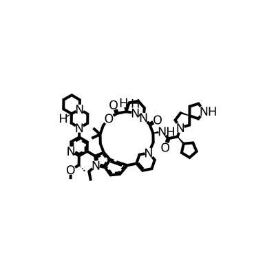 CCn1c(-c2cc(N3CCN4CCCC[C@@H]4C3)cnc2[C@H](C)OC)c2c3cc(ccc31)C1=CCCN(C1)C[C@H](NC(=O)[C@H](C1CCCC1)N1CC[C@]3(CCNC3)C1)C(=O)N1CCC[C@H](N1)C(=O)OCC(C)(C)C2